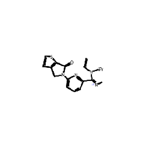 C=CN(/C(=N\C)c1cccc(N2Cc3ccsc3C2=O)n1)C(C)C